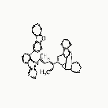 C=C/C(=C\C=C(/C)n1c2ccccc2c2cccc(-c3ccc4oc5ccccc5c4c3)c21)C1=Cc2c3n(c4ccccc24)-c2ccccc2C2C1C32